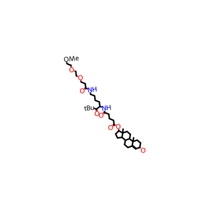 COCCOCCOCCC(=O)NCCCCC(NC(=O)CCCC(=O)OC1CCC2C3CCC4=CC(=O)CCC4(C)C3CCC12C)C(=O)C(C)(C)C